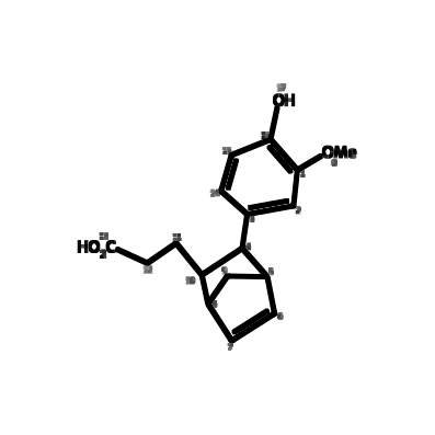 COc1cc(C2C3C=CC(C3)C2CCC(=O)O)ccc1O